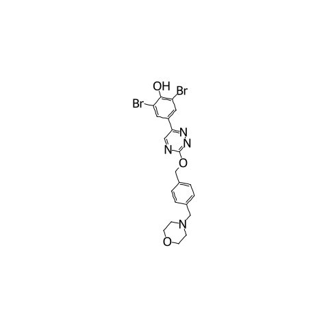 Oc1c(Br)cc(-c2cnc(OCc3ccc(CN4CCOCC4)cc3)nn2)cc1Br